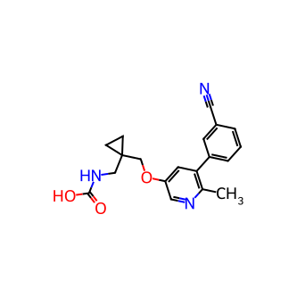 Cc1ncc(OCC2(CNC(=O)O)CC2)cc1-c1cccc(C#N)c1